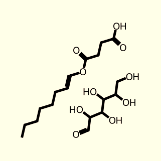 CCCCCCC=COC(=O)CCC(=O)O.O=CC(O)C(O)C(O)C(O)CO